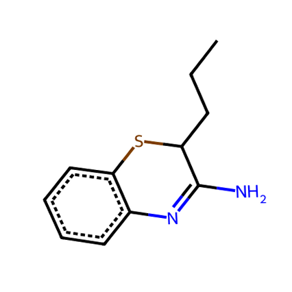 CCCC1Sc2ccccc2N=C1N